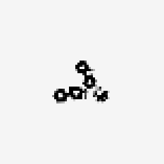 CC1(C)OB(c2cc3oc4ccccc4c3cc2Nc2ccc(-c3ccccc3)cc2)OC1(C)C